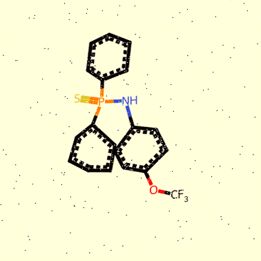 FC(F)(F)Oc1ccc(NP(=S)(c2ccccc2)c2ccccc2)cc1